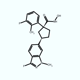 Cc1c(F)cccc1[C@]1(C(=O)NO)CC[C@@H](c2ccc3c(F)nn(C)c3c2)C1